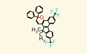 CC1(C)c2cc(C(F)(F)F)ccc2-c2c1c1c(c3cc(C(F)(F)F)ccc23)OC(c2ccccc2)(c2ccccc2)C=C1